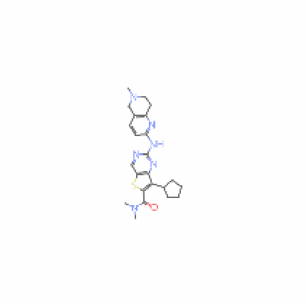 CN1CCc2nc(Nc3ncc4sc(C(=O)N(C)C)c(C5CCCC5)c4n3)ccc2C1